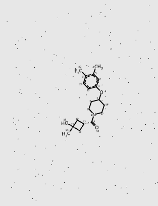 Cc1cc(OC2CCN(C(=O)[C@H]3C[C@@](C)(O)C3)CC2)ccc1C(F)(F)F